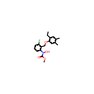 CCc1cc(C)c(C)cc1OCc1c(F)cccc1N(O)C(=O)OC